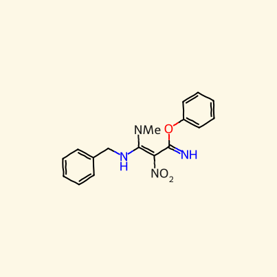 CN/C(NCc1ccccc1)=C(\C(=N)Oc1ccccc1)[N+](=O)[O-]